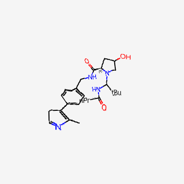 CCCC(=O)NC(N1CC(O)C[C@@H]1C(=O)NCc1ccc(C2=C(C)N=CC2)cc1)C(C)(C)C